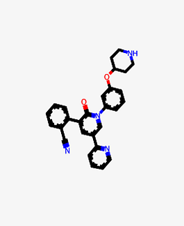 N#Cc1ccccc1-c1cc(-c2ccccn2)cn(-c2cccc(OC3CCNCC3)c2)c1=O